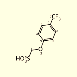 O=S(=O)(O)COc1ccc(C(F)(F)F)cc1